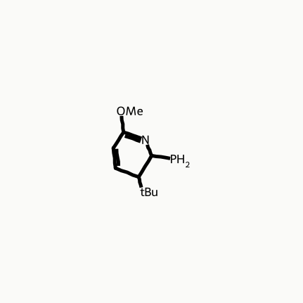 COC1=NC(P)C(C(C)(C)C)C=C1